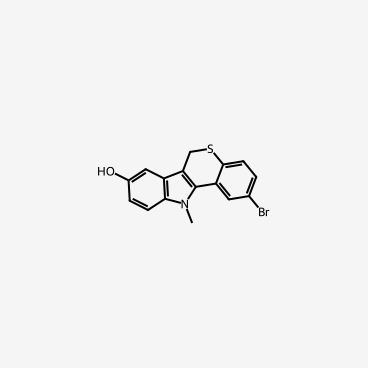 Cn1c2c(c3cc(O)ccc31)CSc1ccc(Br)cc1-2